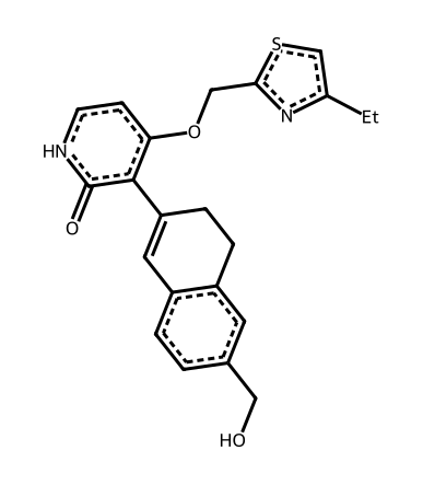 CCc1csc(COc2cc[nH]c(=O)c2C2=Cc3ccc(CO)cc3CC2)n1